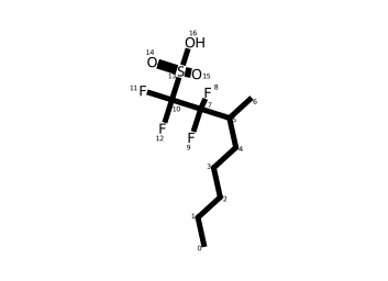 CCCCCC(C)C(F)(F)C(F)(F)S(=O)(=O)O